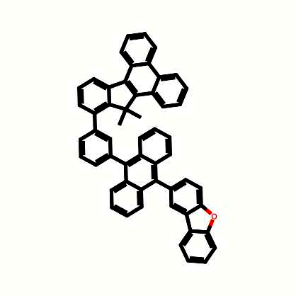 CC1(C)c2c(-c3cccc(-c4c5ccccc5c(-c5ccc6oc7ccccc7c6c5)c5ccccc45)c3)cccc2-c2c1c1ccccc1c1ccccc21